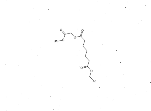 CC(=O)COC(=O)CCCCCC(=O)OCC(=O)OC(C)C